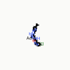 CC(=O)c1nc(NCc2cn3cc(C4CC4)ccc3n2)cc(NC(=O)Cc2ncn3ccc(Cl)cc23)n1